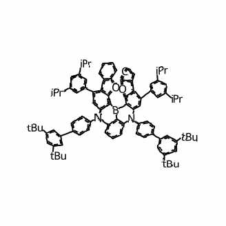 CC(C)c1cc(-c2cc3c(c4oc5ccccc5c24)B2c4c(cccc4N(c4ccc(-c5cc(C(C)(C)C)cc(C(C)(C)C)c5)cc4)c4cc(-c5cc(C(C)C)cc(C(C)C)c5)c5c(oc6ccccc65)c42)N3c2ccc(-c3cc(C(C)(C)C)cc(C(C)(C)C)c3)cc2)cc(C(C)C)c1